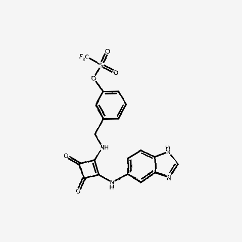 O=c1c(NCc2cccc(OS(=O)(=O)C(F)(F)F)c2)c(Nc2ccc3[nH]cnc3c2)c1=O